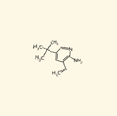 C=Cc1cc(C(C)(C)C)cnc1N